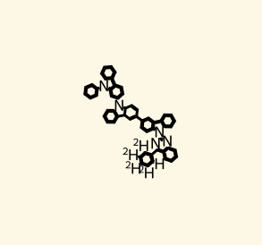 [2H]c1c([2H])c([2H])c(-c2nc(-n3c4ccccc4c4cc(C5=CC6c7ccccc7N(c7ccc8c9ccccc9n(-c9ccccc9)c8c7)C6C=C5)ccc43)nc3ccccc23)c([2H])c1[2H]